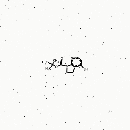 CC(C)(C)OC(=O)N1CCc2c(S)ccnc21